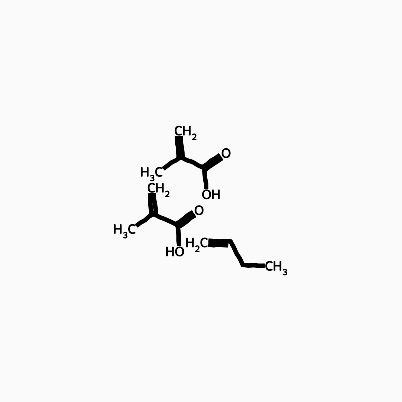 C=C(C)C(=O)O.C=C(C)C(=O)O.C=CCC